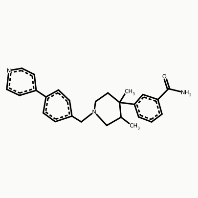 CC1CN(Cc2ccc(-c3ccncc3)cc2)CCC1(C)c1cccc(C(N)=O)c1